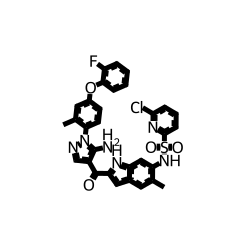 Cc1cc2cc(C(=O)c3cnn(-c4ccc(Oc5ccccc5F)cc4C)c3N)[nH]c2cc1NS(=O)(=O)c1cccc(Cl)n1